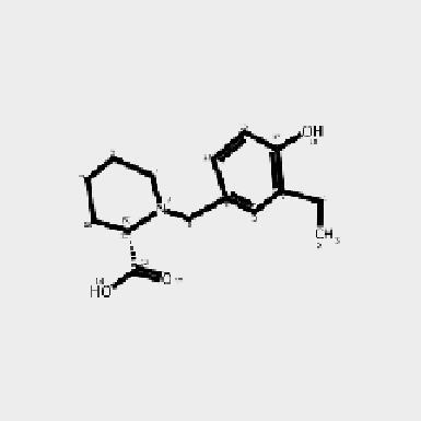 CCc1cc(CN2CCCC[C@H]2C(=O)O)ccc1O